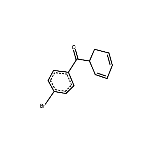 O=C(c1ccc(Br)cc1)C1C=CC=CC1